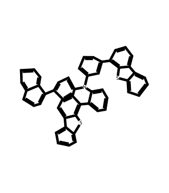 c1cc(-c2cccc3c2sc2ccccc23)cc(N(c2ccc(-c3cccc4ccccc34)cc2)c2ccccc2-c2cccc3c2sc2ccccc23)c1